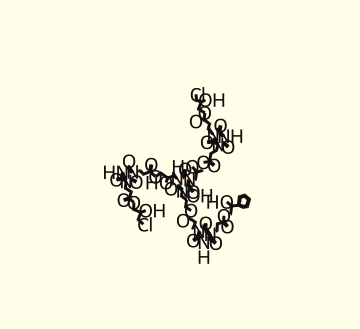 O=C(CCn1c(=O)[nH]c(=O)n(CCC(=O)OCC(O)Cn2c(=O)n(CC(O)COC(=O)CCn3c(=O)[nH]c(=O)n(CCC(=O)OCC(O)CCl)c3=O)c(=O)n(CC(O)COC(=O)CCn3c(=O)[nH]c(=O)n(CCC(=O)OCC(O)c4ccccc4)c3=O)c2=O)c1=O)OCC(O)CCl